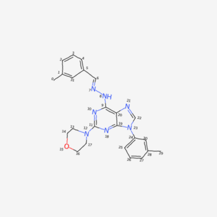 Cc1cccc(C=NNc2nc(N3CCOCC3)nc3c2ncn3-c2cccc(C)c2)c1